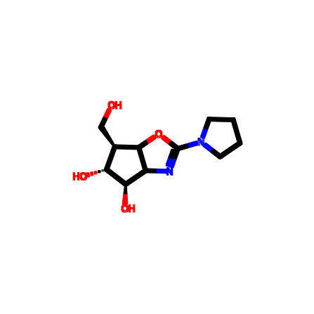 OC[C@H]1C2OC(N3CCCC3)=NC2[C@@H](O)[C@@H]1O